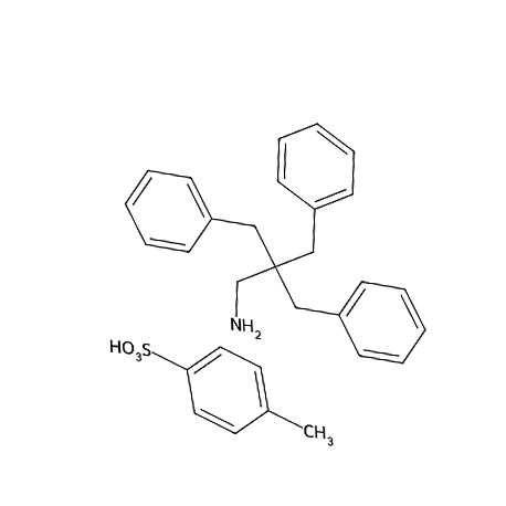 Cc1ccc(S(=O)(=O)O)cc1.NCC(Cc1ccccc1)(Cc1ccccc1)Cc1ccccc1